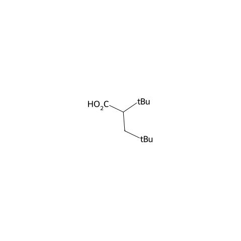 CC(C)(C)CC(C(=O)O)C(C)(C)C